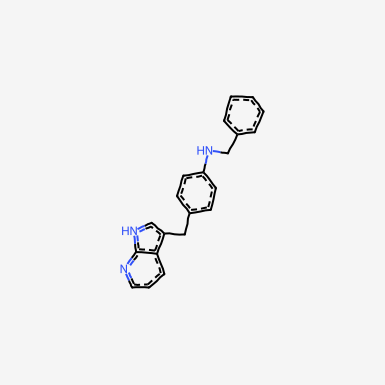 c1ccc(CNc2ccc(Cc3c[nH]c4ncccc34)cc2)cc1